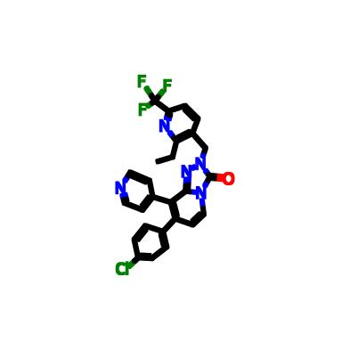 CCc1nc(C(F)(F)F)ccc1Cn1nc2c(-c3ccncc3)c(-c3ccc(Cl)cc3)ccn2c1=O